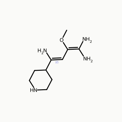 COC(/C=C(\N)C1CCNCC1)=C(N)N